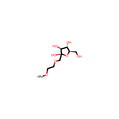 CCCCOCCOC[C@@]1(O)O[C@H](CO)[C@@H](O)[C@@H]1O